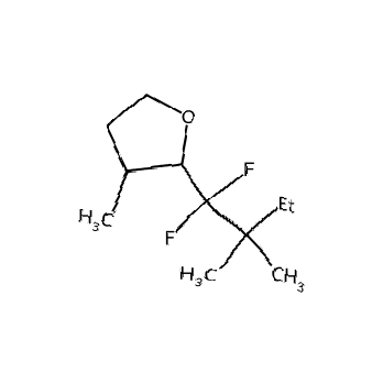 CCC(C)(C)C(F)(F)C1OCCC1C